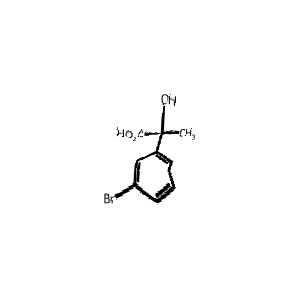 C[C@](O)(C(=O)O)c1cccc(Br)c1